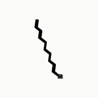 C=CC=CCCCCC=CCC